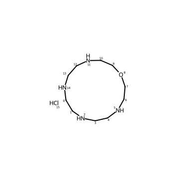 C1CNCCNCCOCCNCCN1.Cl